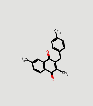 CC1=C(Cc2ccc(C)cc2)C(=O)c2cc(C)ccc2C1=O